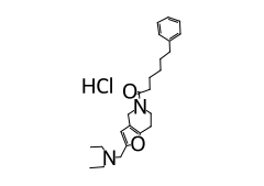 CCN(CC)Cc1cc2c(o1)CCN(C(=O)CCCCCc1ccccc1)C2.Cl